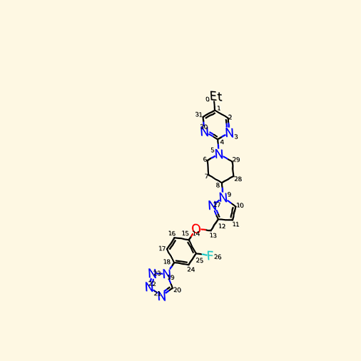 CCc1cnc(N2CCC(n3ccc(COc4ccc(-n5cnnn5)cc4F)n3)CC2)nc1